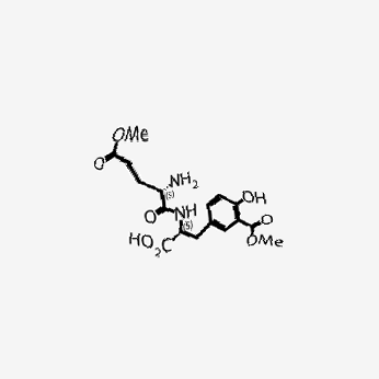 COC(=O)CC[C@H](N)C(=O)N[C@@H](Cc1ccc(O)c(C(=O)OC)c1)C(=O)O